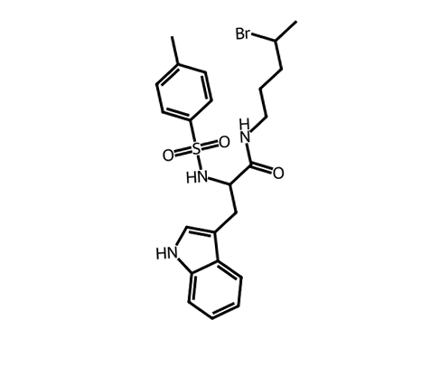 Cc1ccc(S(=O)(=O)NC(Cc2c[nH]c3ccccc23)C(=O)NCCCC(C)Br)cc1